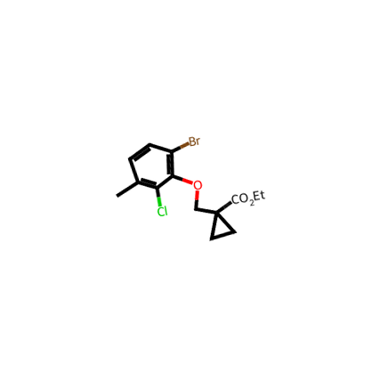 CCOC(=O)C1(COc2c(Br)ccc(C)c2Cl)CC1